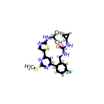 CSc1nc(-c2cnc(NC(C)C)s2)cc(-c2ccc(F)cc2CNC(=O)NC2CC2)n1